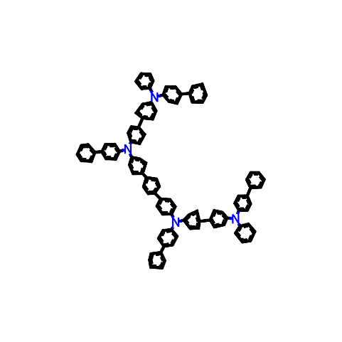 c1ccc(-c2ccc(N(c3ccccc3)c3ccc(-c4ccc(N(c5ccc(-c6ccccc6)cc5)c5ccc(-c6ccc(-c7ccc(N(c8ccc(-c9ccccc9)cc8)c8ccc(-c9ccc(N(c%10ccccc%10)c%10ccc(-c%11ccccc%11)cc%10)cc9)cc8)cc7)cc6)cc5)cc4)cc3)cc2)cc1